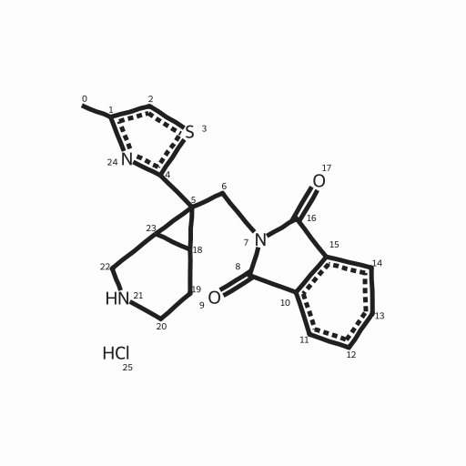 Cc1csc(C2(CN3C(=O)c4ccccc4C3=O)C3CCNCC32)n1.Cl